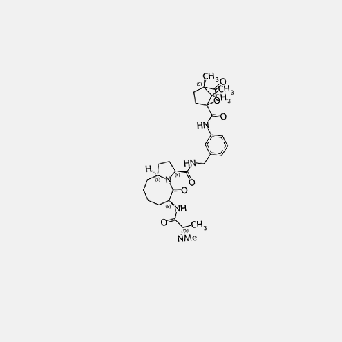 CN[C@@H](C)C(=O)N[C@H]1CCCC[C@H]2CC[C@@H](C(=O)NCc3cccc(NC(=O)C45CC[C@](C)(C(=O)O4)C5(C)C)c3)N2C1=O